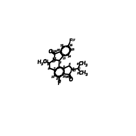 CC(C)N1Cc2cc(CC(C)N3Cc4ccc(F)cc4C3=O)cc(F)c2C1=O